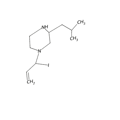 C=CC(I)N1CCNC(CC(C)C)C1